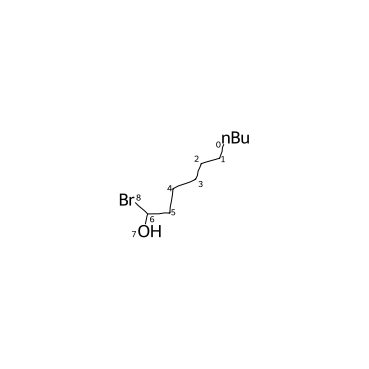 CCCCCCCCCC(O)Br